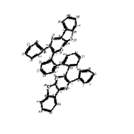 c1ccc(-c2nc3c(nc2-c2ccccc2-c2ccccc2-c2nc4sc5ccccc5c4nc2-c2ccccc2)sc2ccccc23)cc1